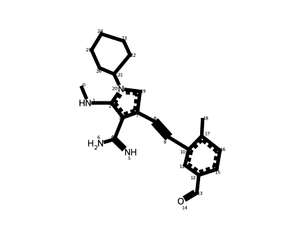 CNc1c(C(=N)N)c(C#Cc2cc(C=O)ccc2C)cn1C1CCCCC1